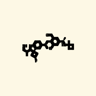 C[C@H](NC1(C)CCC1)c1cc(Cl)c(CN(C)c2cccc([C@]3(C(=N)N(C)C=N)C[C@@H](F)C3)c2)c(C=O)c1